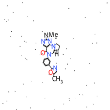 CNc1ncc2c(n1)N1CCC[C@H]1CN(c1cccc(-c3ncc(C)o3)c1)C2=O